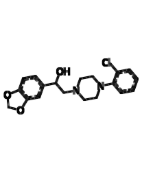 OC(CN1CCN(c2ccccc2Cl)CC1)c1ccc2c(c1)OCO2